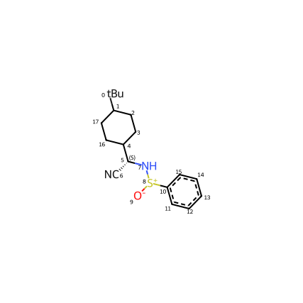 CC(C)(C)C1CCC([C@@H](C#N)N[S+]([O-])c2ccccc2)CC1